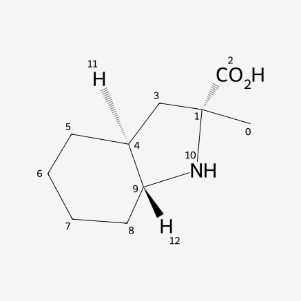 C[C@]1(C(=O)O)C[C@@H]2CCCC[C@H]2N1